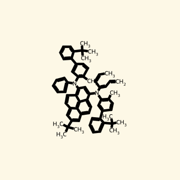 C=C/C=C(\C=C/C)N(c1cc(-c2ccccc2C(C)(C)C)ccc1C)c1cc(N(c2ccccc2)c2cc(-c3ccccc3C(C)(C)C)ccc2C)c2ccc3cc(C(C)(C)C)cc4ccc1c2c43